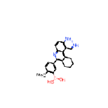 COc1ccc(-c2nc3ccc(N)c(C=N)c3c3c2CCCC3)cc1B(O)O